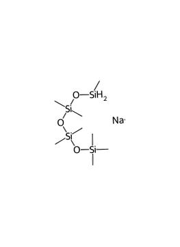 C[SiH2]O[Si](C)(C)O[Si](C)(C)O[Si](C)(C)C.[Na]